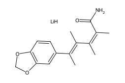 CC(C(N)=O)=C(C)C(C)=C(C)c1ccc2c(c1)OCO2.[LiH]